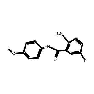 COc1ccc(NC(=O)c2cc(F)ccc2N)cc1